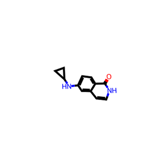 O=c1[nH]ccc2cc(NC3CC3)ccc12